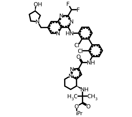 CC(C)OC(=O)C(C)(C)N[C@H]1CCCn2nc(C(=O)Nc3cccc(-c4cccc(Nc5nc(C(F)F)nc6cc(CN7CC[C@@H](O)C7)cnc56)c4Cl)c3Cl)cc21